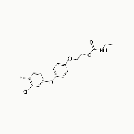 CCNC(=O)OCCOc1ccc(Oc2ccc(F)c(Cl)c2)cc1